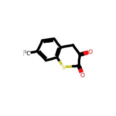 [5C]c1ccc2c(c1)SC(=O)C(=O)C2